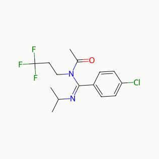 CC(=O)N(CCC(F)(F)F)/C(=N\C(C)C)c1ccc(Cl)cc1